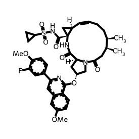 COc1ccc2c(O[C@@H]3C[C@H]4C(=O)N[C@]5(C(=O)NS(=O)(=O)C6CC6)C[C@H]5/C=C\CC[C@@H](C)[C@@H](C)CC(=O)N4C3)nc(-c3ccc(OC)c(F)c3)cc2c1